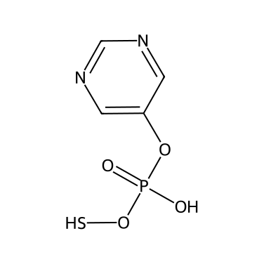 O=P(O)(OS)Oc1cncnc1